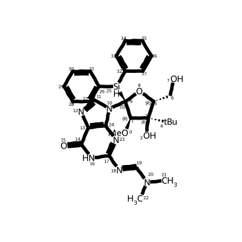 CO[C@@H]1[C@@](O)(C(C)(C)C)[C@@H](CO)O[C@]1(n1cnc2c(=O)[nH]c(N=CN(C)C)nc21)[SiH](c1ccccc1)c1ccccc1